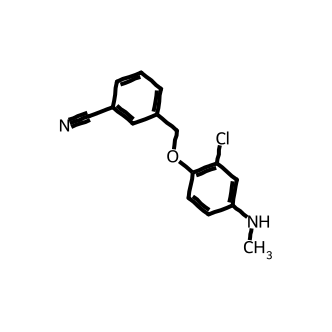 CNc1ccc(OCc2cccc(C#N)c2)c(Cl)c1